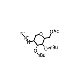 CCCCO[C@@H]1C(N=[N+]=[N-])COC(COC(C)=O)[C@H]1OCCCC